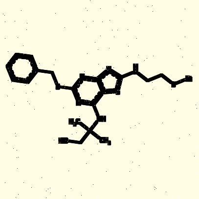 CCSCCNc1nc2nc(SCc3ccccc3)nc(NC(C)(C)CO)c2s1